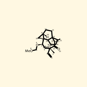 C=C[C@]1(C)C[C@@H](OCOC)[C@]23C[C@@H]2CCC2(CC[C@@H](OC)C23)[C@@H](C)C1=O